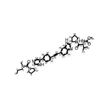 CCCN(C)C(=O)N1CCC[C@H]1c1ncc(-c2ccc(C#Cc3ccc4nc([C@@H]5CCCN5C(=O)[C@@H](NC(=O)OC)C(C)C)[nH]c4c3)cc2)[nH]1